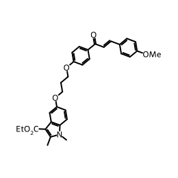 CCOC(=O)c1c(C)n(C)c2ccc(OCCCOc3ccc(C(=O)C=Cc4ccc(OC)cc4)cc3)cc12